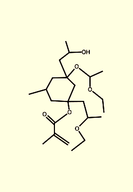 C=C(C)C(=O)OC1(CC(C)OCC)CC(C)CC(CC(C)O)(OC(C)OCC)C1